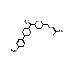 C=C(C1CCC(CCC=C(F)C#N)CC1)C1CCC(c2ccc(CCCCC)cc2)CC1